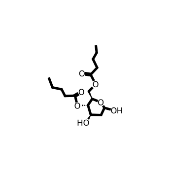 CCCCC(=O)OC[C@H]1OC(O)C[C@@H](O)[C@@H]1OC(=O)CCCC